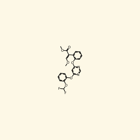 CO/C=C(/C(=O)OC)c1ccccc1Oc1cc(Oc2ccccc2OC(F)F)ncn1